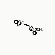 COc1cccnc1N1CCN(CCCCOc2cnc3c(n2)CCCC3)CC1